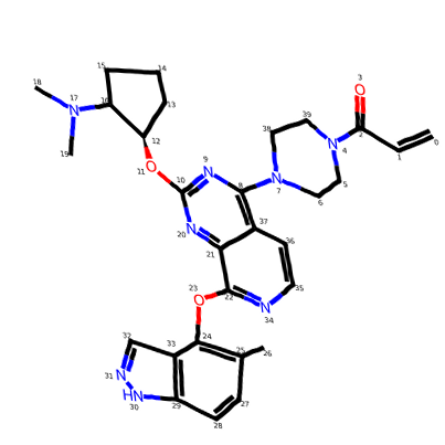 C=CC(=O)N1CCN(c2nc(O[C@@H]3CCCC3N(C)C)nc3c(Oc4c(C)ccc5[nH]ncc45)nccc23)CC1